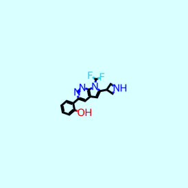 Oc1ccccc1-c1cc2cc(C3CNC3)n(C(F)F)c2nn1